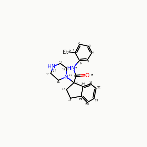 CCc1ccccc1NC(=O)C1(N2CCNCC2)CCc2ccccc21